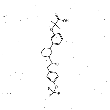 CC(C)(Oc1cccc(C2CCCN(C(=O)Cc3ccc(OC(F)(F)F)cc3)C2)c1)C(=O)O